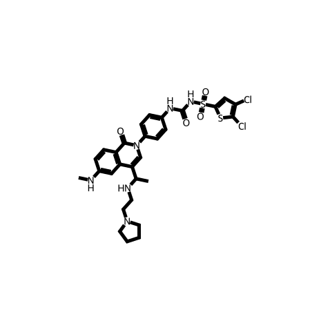 CNc1ccc2c(=O)n(-c3ccc(NC(=O)NS(=O)(=O)c4cc(Cl)c(Cl)s4)cc3)cc(C(C)NCCN3CCCC3)c2c1